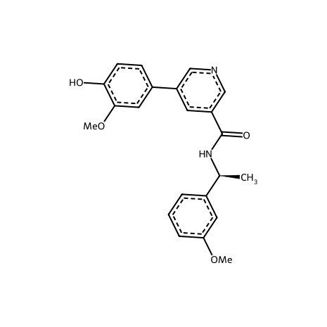 COc1cccc([C@H](C)NC(=O)c2cncc(-c3ccc(O)c(OC)c3)c2)c1